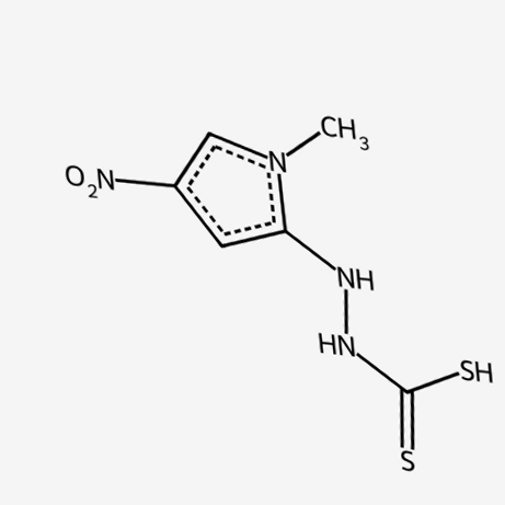 Cn1cc([N+](=O)[O-])cc1NNC(=S)S